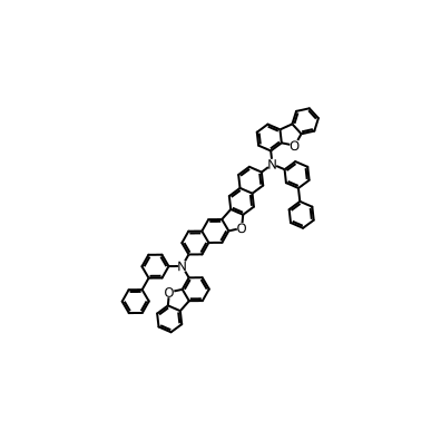 c1ccc(-c2cccc(N(c3ccc4cc5c(cc4c3)oc3cc4cc(N(c6cccc(-c7ccccc7)c6)c6cccc7c6oc6ccccc67)ccc4cc35)c3cccc4c3oc3ccccc34)c2)cc1